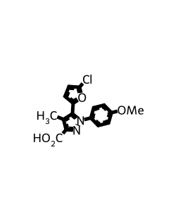 COc1ccc(-n2nc(C(=O)O)c(C)c2-c2ccc(Cl)o2)cc1